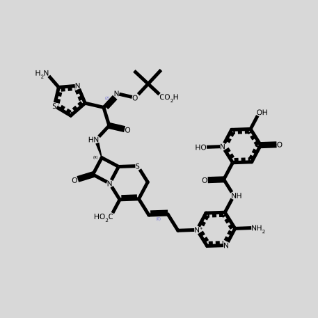 CC(C)(O/N=C(\C(=O)N[C@@H]1C(=O)N2C(C(=O)O)=C(/C=C/C[n+]3cnc(N)c(NC(=O)c4cc(=O)c(O)cn4O)c3)CSC12)c1csc(N)n1)C(=O)O